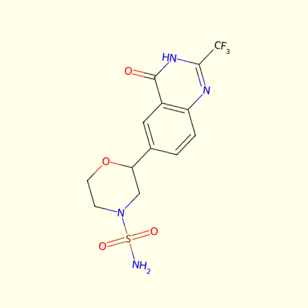 NS(=O)(=O)N1CCOC(c2ccc3nc(C(F)(F)F)[nH]c(=O)c3c2)C1